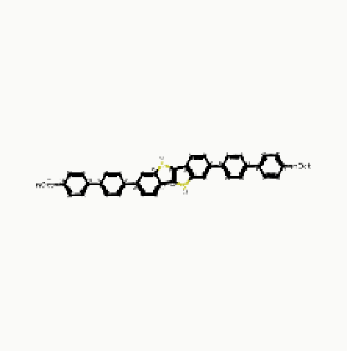 CCCCCCCCc1ccc(-c2ccc(-c3ccc4c(c3)sc3c5ccc(-c6ccc(-c7ccc(CCCCCCCC)cc7)cc6)cc5sc43)cc2)cc1